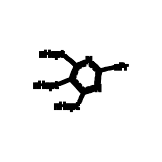 [CH2]CCc1nc(CCCCCCC)c(CCCCCCC)c(CCCCCCC)n1